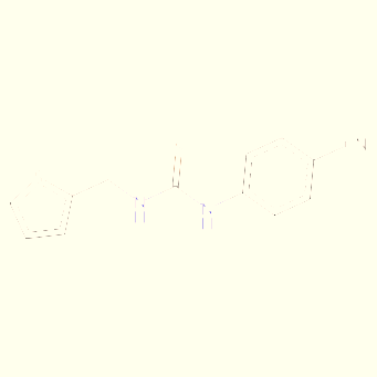 N#Cc1ccc(NC(=S)NCc2cccs2)cc1